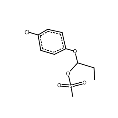 CCC(Oc1ccc(Cl)cc1)OS(C)(=O)=O